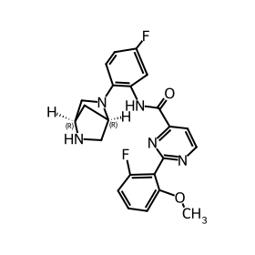 COc1cccc(F)c1-c1nccc(C(=O)Nc2cc(F)ccc2N2C[C@H]3C[C@@H]2CN3)n1